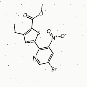 CCc1cc(-c2ncc(Br)cc2[N+](=O)[O-])sc1C(=O)OC